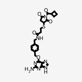 Nc1nc(OCc2ccc(CNC(=O)CCSC3CC(=O)N(C(=O)C4CCC4)C3=O)cc2)c2nc[nH]c2n1